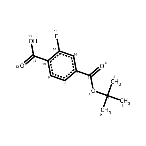 CC(C)(C)OC(=O)c1ccc(C(=O)O)c(F)c1